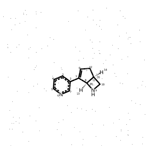 C1=C(c2cccnc2)[C@@H]2NC[C@@H]2C1